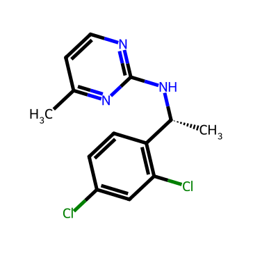 Cc1ccnc(N[C@H](C)c2ccc(Cl)cc2Cl)n1